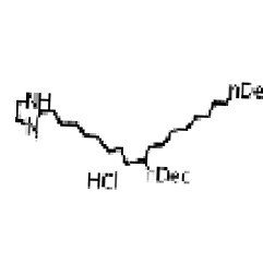 CCCCCCCCCCCCCCCCCCC(CCCCCCCCCC)CCCCCCCCC1NC=CN1C.Cl